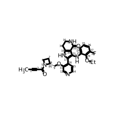 CC#CC(=O)N1CC[C@@H]1COc1cnccc1-c1[nH]c2c(c1Nc1cccc(F)c1OCC)C(=O)NCC2